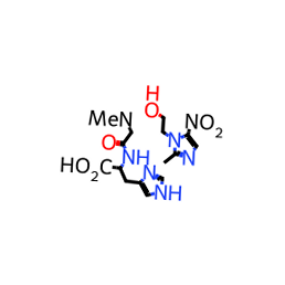 CNCC(=O)NC(Cc1c[nH]cn1)C(=O)O.Cc1ncc([N+](=O)[O-])n1CCO